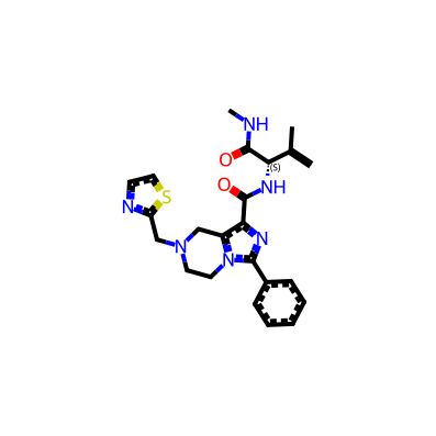 C=C(C)[C@H](NC(=O)c1nc(-c2ccccc2)n2c1CN(Cc1nccs1)CC2)C(=O)NC